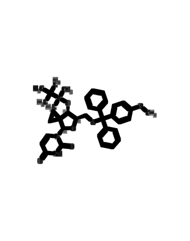 COc1ccc(C(OC[C@H]2O[C@@H](n3ccc(=O)[nH]c3=O)C3(CC3)[C@@H]2O[Si](C)(C)C(C)(C)C)(c2ccccc2)c2ccccc2)cc1